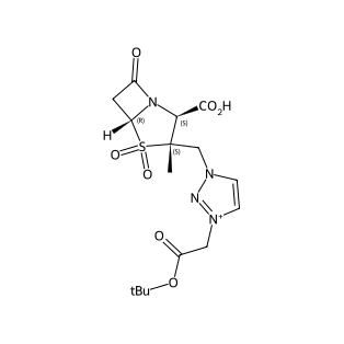 CC(C)(C)OC(=O)C[n+]1ccn(C[C@@]2(C)[C@H](C(=O)O)N3C(=O)C[C@H]3S2(=O)=O)n1